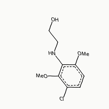 COc1ccc(Cl)c(OC)c1NCCO